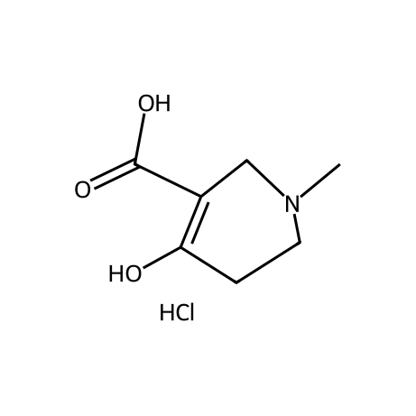 CN1CCC(O)=C(C(=O)O)C1.Cl